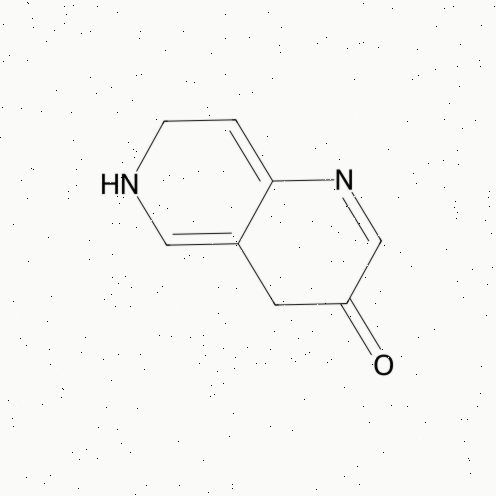 O=C1C=NC2=CCNC=C2C1